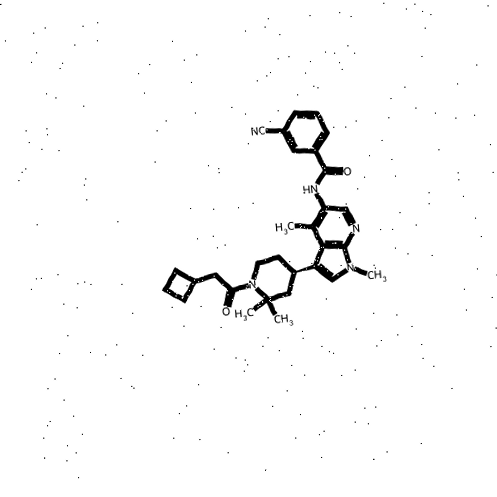 Cc1c(NC(=O)c2cccc(C#N)c2)cnc2c1c([C@@H]1CCN(C(=O)CC3CCC3)C(C)(C)C1)cn2C